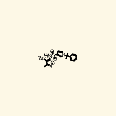 Cc1noc(NS(=O)(=O)c2ccn(C(C)(C)c3ccccc3)c2)c1Br